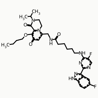 CCCCOc1c2n(c(CNC(=O)CCCCCNc3nc(-c4n[nH]c5ccc(F)cc45)ncc3F)cc1=O)CCN(C(C)C)C2=O